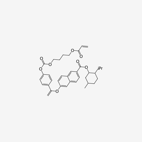 C=CC(=O)OCCCCOC(=O)Oc1ccc(C(=C)Oc2ccc3cc(C(=O)OC4CC(C)CCC4C(C)C)ccc3c2)cc1